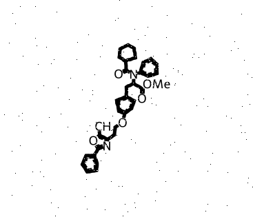 COC(=O)C(Cc1ccc(OCCc2nc(-c3ccccc3)oc2C)cc1)N(C(=O)C1CCCCC1)c1ccccc1